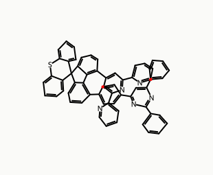 c1ccc(-c2cc(-c3ccc(-c4cccc5c4-c4c(-c6cc(-c7ccccn7)nc(-c7ccccn7)c6)cccc4C54c5ccccc5Sc5ccccc54)cc3)nc(-c3ccccc3)n2)cc1